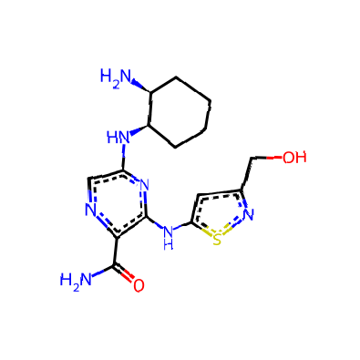 NC(=O)c1ncc(N[C@@H]2CCCC[C@@H]2N)nc1Nc1cc(CO)ns1